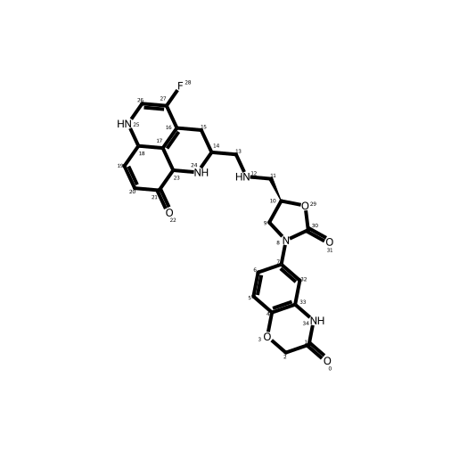 O=C1COc2ccc(N3C[C@@H](CNCC4CC5=C6C(C=CC(=O)C6N4)NC=C5F)OC3=O)cc2N1